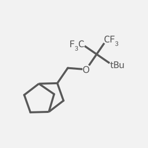 CC(C)(C)C(OCC1CC2CCC1C2)(C(F)(F)F)C(F)(F)F